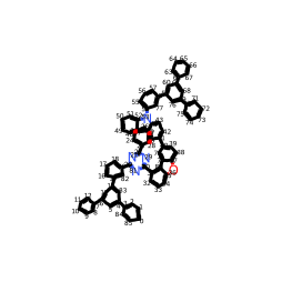 c1ccc(-c2cc(-c3ccccc3)cc(-c3cccc(-c4nc(-c5ccccc5)nc(-c5cccc6oc7ccc(-c8ccc9c(c8)c8ccccc8n9-c8cccc(-c9cc(-c%10ccccc%10)cc(-c%10ccccc%10)c9)c8)cc7c56)n4)c3)c2)cc1